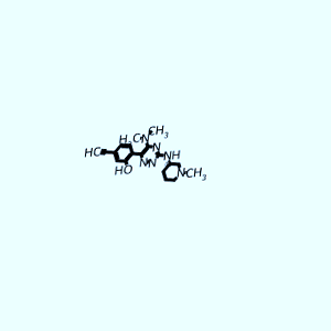 C#Cc1ccc(-c2nnc(N[C@@H]3CCCN(C)C3)nc2N(C)C)c(O)c1